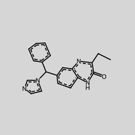 CCc1nc2cc(C(c3ccccc3)n3ccnc3)ccc2[nH]c1=O